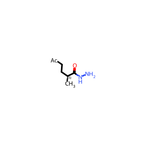 CC(=O)CC[C@H](C)C(=O)NN